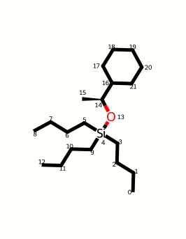 CCCC[Si](CCCC)(CCCC)O[C@@H](C)C1CCCCC1